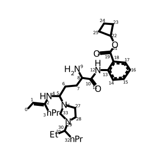 C/C=C(\CCC)NC(CCC(N)C(=O)Nc1ccccc1C(=O)OC1CCC1)N1CCN(C(CC)CCC)C1